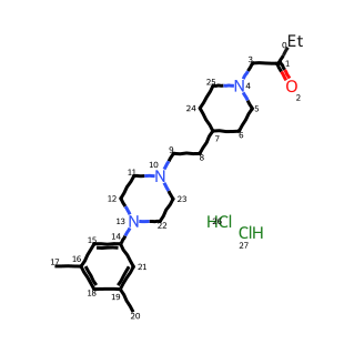 CCC(=O)CN1CCC(CCN2CCN(c3cc(C)cc(C)c3)CC2)CC1.Cl.Cl